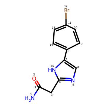 NC(=O)Cc1ncc(-c2ccc(Br)cc2)[nH]1